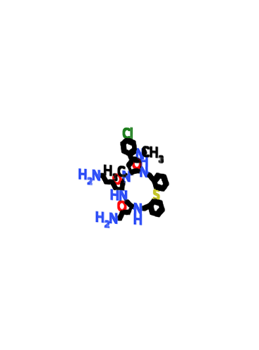 CN1C(=O)[C@H](CCCCN)NC(=O)[C@H](CCCN)NCc2ccccc2Sc2ccccc2CNC(=O)[C@@H]1Cc1cn(C)c2cc(Cl)ccc12